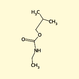 CCNC(=O)OCC(C)C